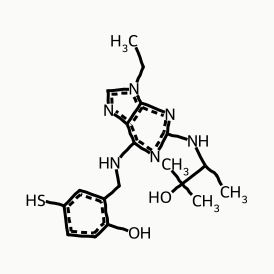 CCC(Nc1nc(NCc2cc(S)ccc2O)c2ncn(CC)c2n1)C(C)(C)O